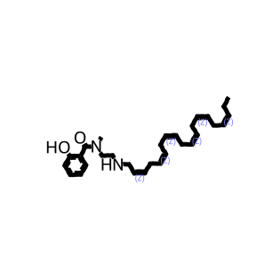 CC/C=C\C/C=C\C/C=C\C/C=C\C/C=C\C/C=C\CNCCN(C)C(=O)c1ccccc1O